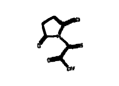 O=C(O)C(=S)N1C(=O)CCC1=O